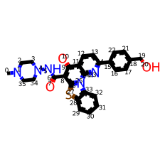 CN1CCN(NC(=O)c2c(=O)c3ccc(-c4ccc(CO)cc4)nc3n3c2sc2ccccc23)CC1